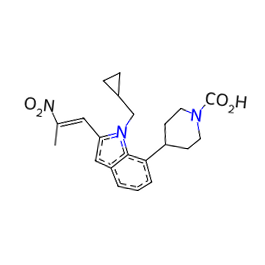 CC(=Cc1cc2cccc(C3CCN(C(=O)O)CC3)c2n1CC1CC1)[N+](=O)[O-]